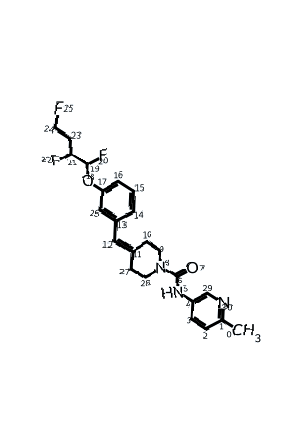 Cc1ccc(NC(=O)N2CCC(=Cc3cccc(OC(F)C(F)CCF)c3)CC2)cn1